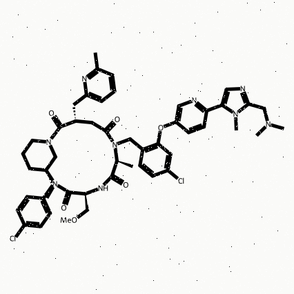 COC[C@@H]1NC(=O)[C@H](C)N(Cc2ccc(Cl)cc2Oc2ccc(-c3cnc(CN(C)C)n3C)nc2)C(=O)C[C@@H](Cc2cccc(C)n2)C(=O)N2CCC[C@@](Cc3ccc(Cl)cc3)(C2)N(C)C1=O